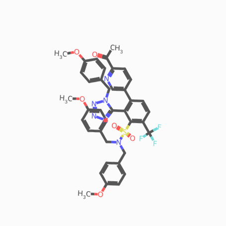 COc1ccc(CN(Cc2ccc(OC)cc2)S(=O)(=O)c2c(C(F)(F)F)ccc(-c3ccc(C(C)=O)nc3)c2-c2nnnn2Cc2ccc(OC)cc2)cc1